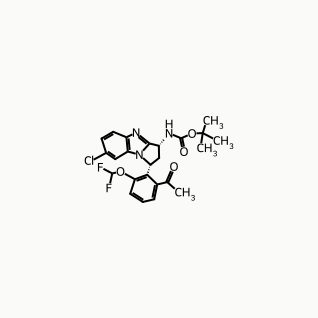 CC(=O)c1cccc(OC(F)F)c1[C@H]1C[C@@H](NC(=O)OC(C)(C)C)c2nc3ccc(Cl)cc3n21